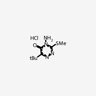 CSc1nnc(C(C)(C)C)c(=O)n1N.Cl